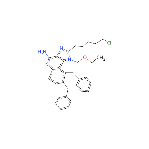 CCOCn1c(CCCCCCl)nc2c(N)nc3ccc(Cc4ccccc4)c(Cc4ccccc4)c3c21